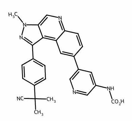 Cn1nc(-c2ccc(C(C)(C)C#N)cc2)c2c3cc(-c4cncc(NC(=O)O)c4)ccc3ncc21